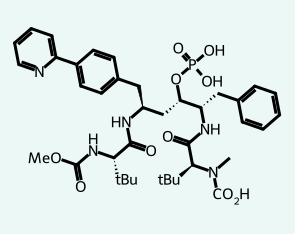 COC(=O)N[C@H](C(=O)N[C@@H](Cc1ccc(-c2ccccn2)cc1)C[C@H](OP(=O)(O)O)[C@H](Cc1ccccc1)NC(=O)[C@@H](N(C)C(=O)O)C(C)(C)C)C(C)(C)C